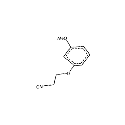 COc1cccc(OCCN=O)c1